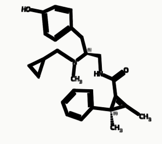 CC1=C(C(=O)NC[C@H](Cc2ccc(O)cc2)N(C)CC2CC2)[C@]1(C)c1ccccc1